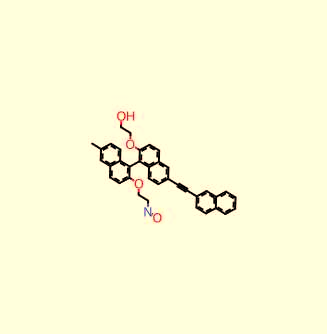 Cc1ccc2c(-c3c(OCCO)ccc4cc(C#Cc5ccc6ccccc6c5)ccc34)c(OCCN=O)ccc2c1